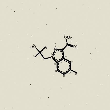 COC(=O)c1nn(CC(C)(C)O)c2ccc(C)cc12